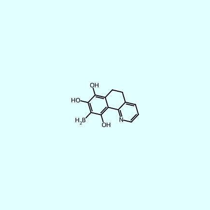 Bc1c(O)c(O)c2c(c1O)-c1ncccc1CC2